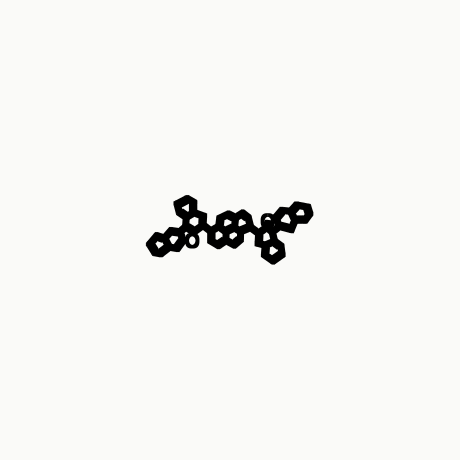 c1ccc2cc3c(cc2c1)oc1c(-c2ccc4ccc5c(-c6cc7ccccc7c7c6oc6cc8ccccc8cc67)ccc6ccc2c4c65)cc2ccccc2c13